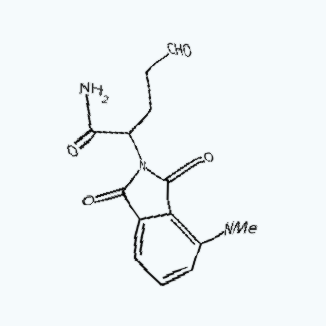 CNc1cccc2c1C(=O)N(C(CCC=O)C(N)=O)C2=O